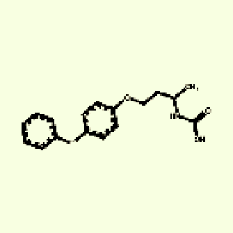 CC(CCOc1ccc(Oc2ccccc2)cc1)NC(=O)O